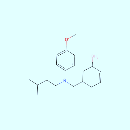 BC1C=CCC(CN(CCC(C)C)c2ccc(OC)cc2)C1